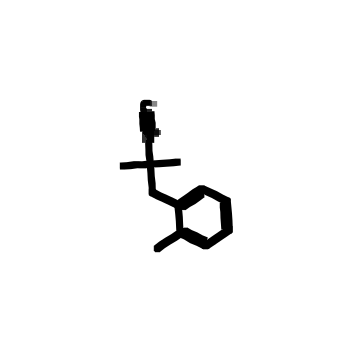 [C-]#[N+]C(C)(C)Cc1ccccc1C